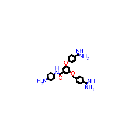 N=C(N)c1ccc(COc2cc(Oc3ccc(C(=N)N)cc3)cc(C(=O)NC3CCC(N)CC3)c2)cc1